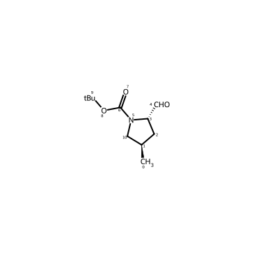 C[C@@H]1C[C@@H](C=O)N(C(=O)OC(C)(C)C)C1